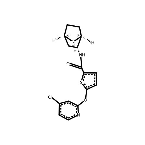 O=C(N[C@@H]1C[C@H]2CC[C@@H]1N2)c1ccc(Oc2cc(Cl)ccn2)s1